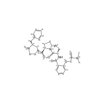 CC(C)C[C@@H](NC(=O)c1ccccc1OCC(=O)N(C)C)C(=O)N1CCC[C@@H]1C(=O)N1CCN(C)[C@@H](Cc2ccccc2)C1